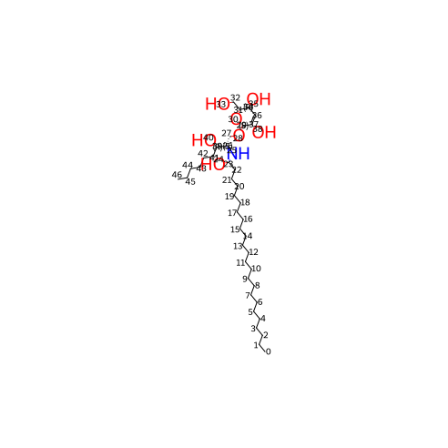 CCCCCCCCCCCCCCCCCCCCCCCC(O)N[C@@H](CO[C@H]1OC(CO)[C@H](O)C=C1O)[C@H](O)CCCCCC